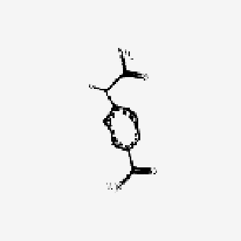 NC(=O)c1ccc(C(Br)C(N)=O)cc1